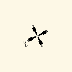 N#[C][Pt]([C]#N)([C]#N)[C]#N.[Li].[Li]